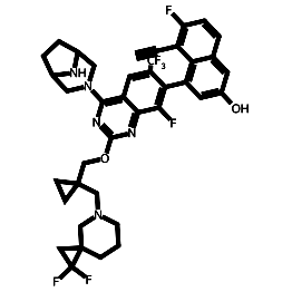 C#Cc1c(F)ccc2cc(O)cc(-c3c(C(F)(F)F)cc4c(N5CC6CCC(C5)N6)nc(OCC5(CN6CCCC7(C6)CC7(F)F)CC5)nc4c3F)c12